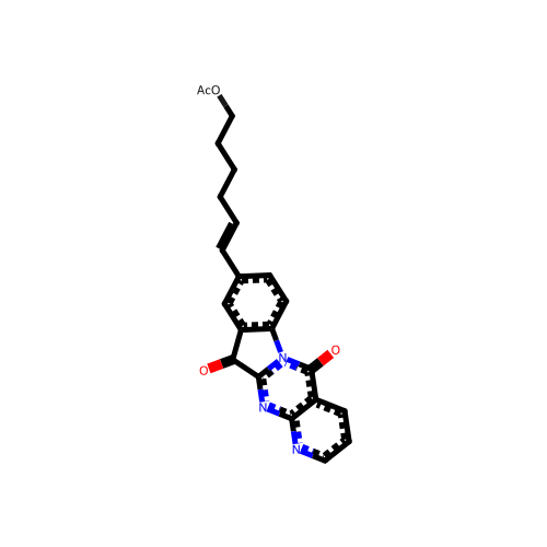 CC(=O)OCCCCC=Cc1ccc2c(c1)C(=O)c1nc3ncccc3c(=O)n1-2